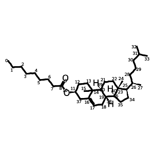 CCCCCCCCC(=O)O[C@H]1CCC2(C)C(=CC[C@@H]3[C@@H]2CC[C@]2(C)[C@@H]([C@H](C)CCCC(C)C)CC[C@@H]32)C1